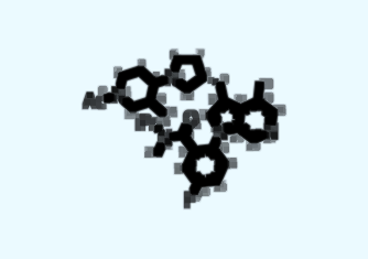 CC(=O)N1CCC(N2CC[C@H](Cc3cn(-c4ccc(F)cc4C(=O)N(C)C(C)C)c4cncc(C)c34)C2)C(C)C1